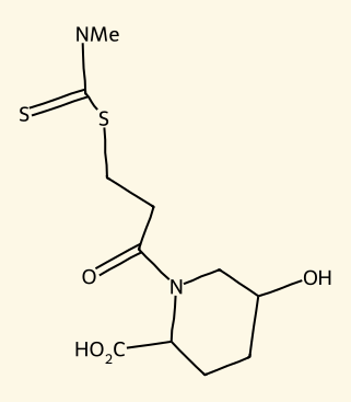 CNC(=S)SCCC(=O)N1CC(O)CCC1C(=O)O